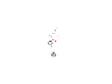 CN(C)C(=O)C[C@@H](NC(=O)OC(C)(C)C)C(=O)N1CC(Oc2ccc(CCB3O[C@@H]4C[C@@H]5C[C@@H](C5(C)C)[C@]4(C)O3)c(OC(=O)OC(C)(C)C)c2C(=O)OC(C)(C)C)C1